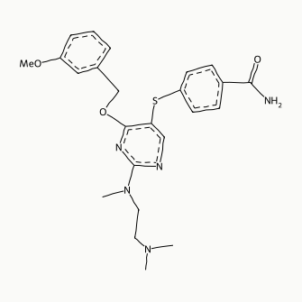 COc1cccc(COc2nc(N(C)CCN(C)C)ncc2Sc2ccc(C(N)=O)cc2)c1